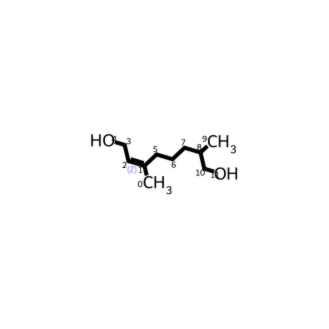 C/C(=C/CO)CCCC(C)CO